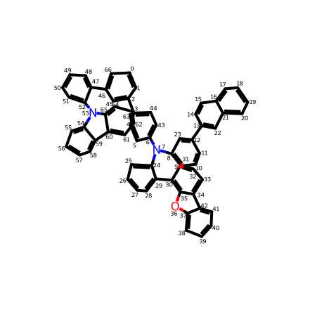 c1cc(-c2ccc(N(c3cccc(-c4ccc5ccccc5c4)c3)c3ccccc3-c3cccc4c3oc3ccccc34)cc2)cc(-c2ccccc2-n2c3ccccc3c3ccccc32)c1